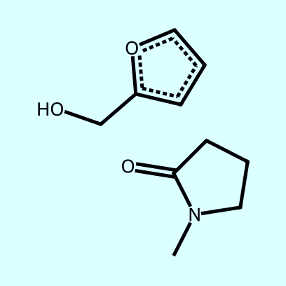 CN1CCCC1=O.OCc1ccco1